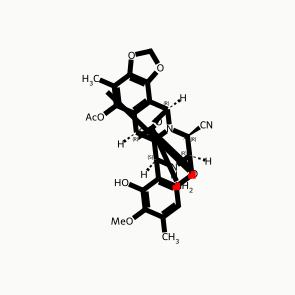 COc1c(C)cc2c(c1O)[C@@H]1N[C@H](C2)[C@H](C#N)N2C1[C@@H]1SCC(N)C(=O)OC[C@H]2c2c3c(c(C)c(OC(C)=O)c21)OCO3